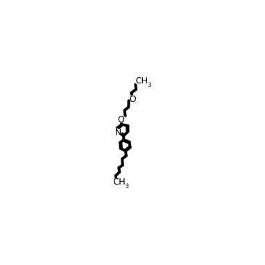 CCCCCCCc1ccc(-c2ccc(OCCCCOCCCC)cn2)cc1